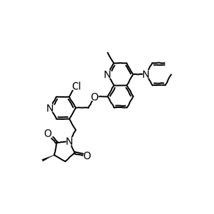 C=CN(/C=C\C)c1cc(C)nc2c(OCc3c(Cl)cncc3CN3C(=O)C[C@@H](C)C3=O)cccc12